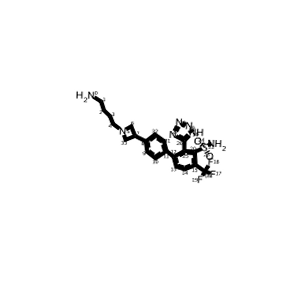 NCCCCN1CC(c2ccc(-c3ccc(C(F)(F)F)c(S(N)(=O)=O)c3-c3nnn[nH]3)cc2)C1